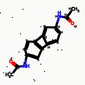 CC(=O)Nc1ccc2c(c1)-c1ccc(NC(C)=O)cc1-2